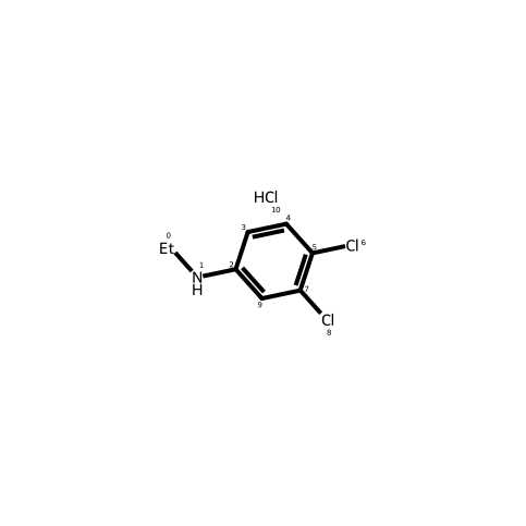 CCNc1ccc(Cl)c(Cl)c1.Cl